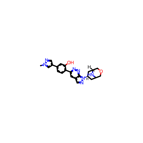 Cn1cc(-c2ccc(-c3cc4cnn([C@@H]5CC6COC[C@@H](C5)N6)c4nn3)c(O)c2)cn1